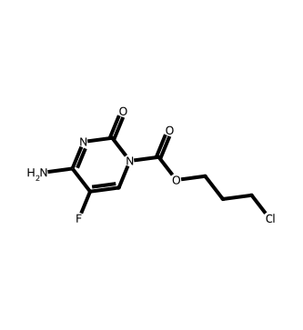 Nc1nc(=O)n(C(=O)OCCCCl)cc1F